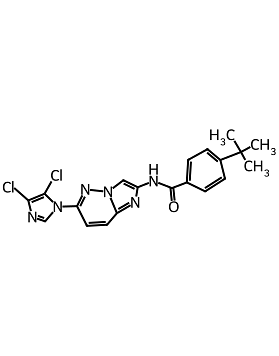 CC(C)(C)c1ccc(C(=O)Nc2cn3nc(-n4cnc(Cl)c4Cl)ccc3n2)cc1